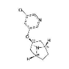 CN1[C@@H]2CC[C@H]1C[C@H](Oc1cncc(Cl)c1)C2